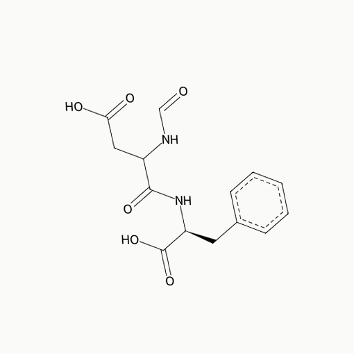 O=CNC(CC(=O)O)C(=O)N[C@@H](Cc1ccccc1)C(=O)O